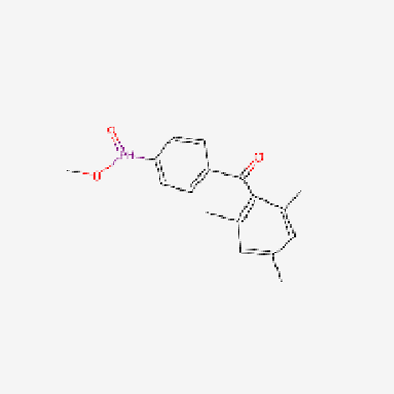 CO[PH](=O)c1ccc(C(=O)c2c(C)cc(C)cc2C)cc1